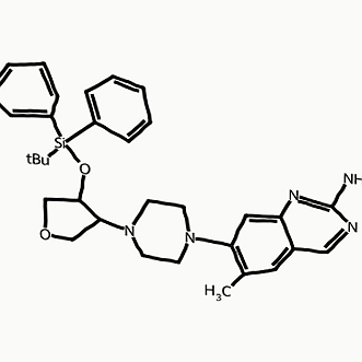 Cc1cc2cnc(N)nc2cc1N1CCN(C2COCC2O[Si](c2ccccc2)(c2ccccc2)C(C)(C)C)CC1